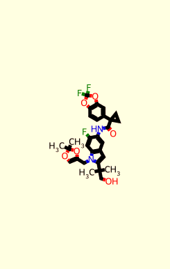 CC1(C)OC=C(Cn2c(C(C)(C)CO)cc3cc(NC(=O)C4(c5ccc6c(c5)OC(F)(F)O6)CC4)c(F)cc32)O1